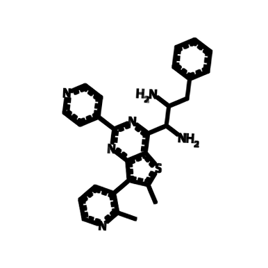 Cc1ncccc1-c1c(C)sc2c(C(N)C(N)Cc3ccccc3)nc(-c3ccncc3)nc12